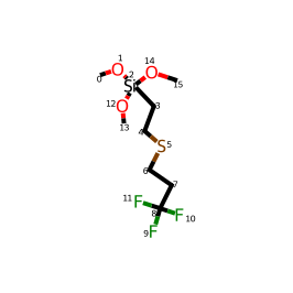 CO[Si](CCSCCC(F)(F)F)(OC)OC